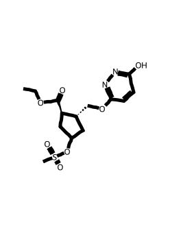 CCOC(=O)[C@@H]1CC(OS(C)(=O)=O)C[C@H]1COc1ccc(O)nn1